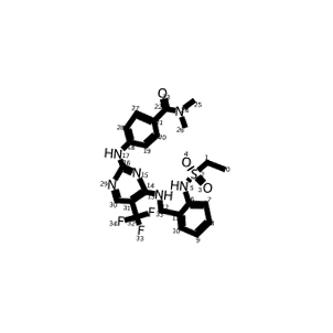 CCS(=O)(=O)Nc1ccccc1CNc1nc(Nc2ccc(C(=O)N(C)C)cc2)ncc1C(F)(F)F